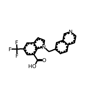 O=C(O)c1cc(C(F)(F)F)cc2ccn(Cc3ccc4ccncc4c3)c12